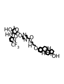 C[C@H]1O[C@H](COc2cnc(C(=O)NCCCOc3ccc4c(c3)CC[C@@H]3[C@@H]4CC[C@]4(C)[C@@H](O)CC[C@@H]34)cn2)[C@H](Oc2cccc(C(F)(F)F)n2)[C@@H](O)[C@H]1O